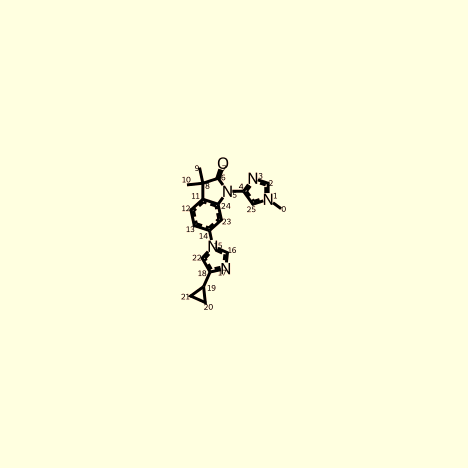 Cn1cnc(N2C(=O)C(C)(C)c3ccc(-n4cnc(C5CC5)c4)cc32)c1